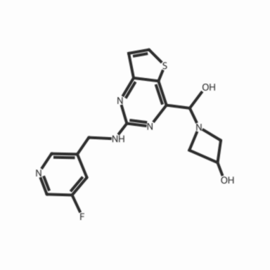 OC1CN(C(O)c2nc(NCc3cncc(F)c3)nc3ccsc23)C1